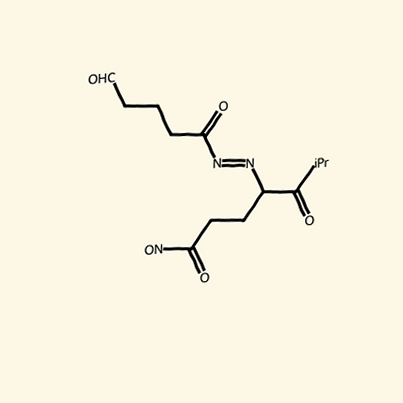 CC(C)C(=O)C(CCC(=O)N=O)N=NC(=O)CCCC=O